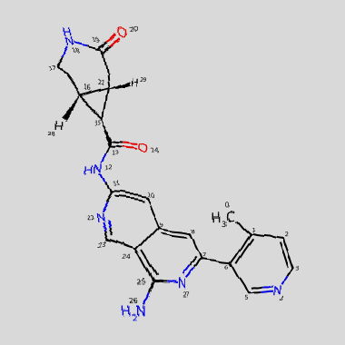 Cc1ccncc1-c1cc2cc(NC(=O)[C@H]3[C@@H]4CNC(=O)[C@@H]43)ncc2c(N)n1